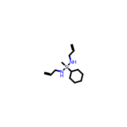 C=CCN[Si](C)(NCC=C)C1CCCCC1